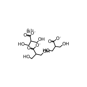 O=C([O-])C(CO)CO.O=C([O-])C(CO)CO.O=C([O-])C(CO)CO.[Bi+3]